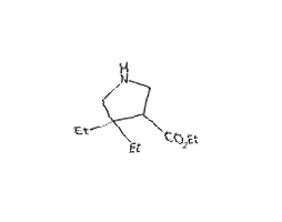 CCOC(=O)C1CNCC1(CC)CC